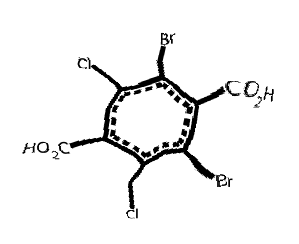 O=C(O)c1c(Cl)c(Br)c(C(=O)O)c(Br)c1Cl